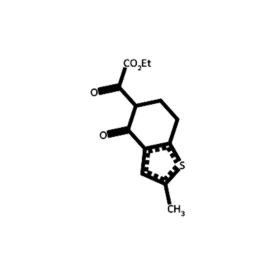 CCOC(=O)C(=O)C1CCc2sc(C)cc2C1=O